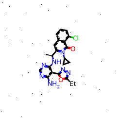 CCc1nnc(-c2c(N)ncnc2N[C@@H](C)c2cc3cccc(Cl)c3c(=O)n2C2CC2)o1